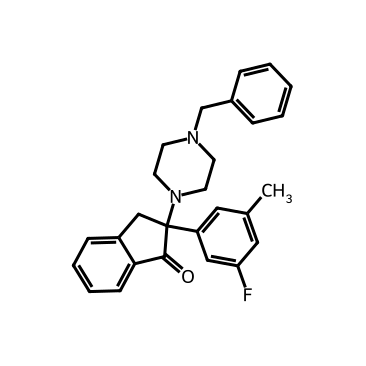 Cc1cc(F)cc(C2(N3CCN(Cc4ccccc4)CC3)Cc3ccccc3C2=O)c1